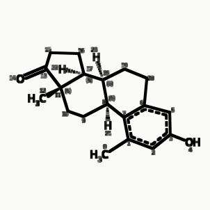 Cc1cc(O)cc2c1[C@H]1CC[C@]3(C)C(=O)CC[C@H]3[C@H]1CC2